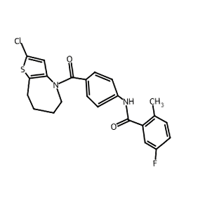 Cc1ccc(F)cc1C(=O)Nc1ccc(C(=O)N2CCCCc3sc(Cl)cc32)cc1